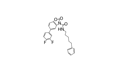 O=C(NCCCCCc1ccccc1)n1c(=O)oc2ccc(-c3ccc(F)c(F)c3)cc21